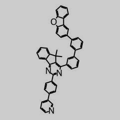 CC1(C)c2ccccc2-c2nc(-c3ccc(-c4cccnc4)cc3)nc(-c3cccc(-c4cccc(-c5ccc6oc7ccccc7c6c5)c4)c3)c21